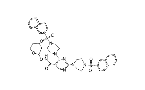 O=C(NOC1CCCCO1)c1cnc(N2CCN(S(=O)(=O)c3ccc4ccccc4c3)CC2)nc1N1CCN(S(=O)(=O)c2ccc3ccccc3c2)CC1